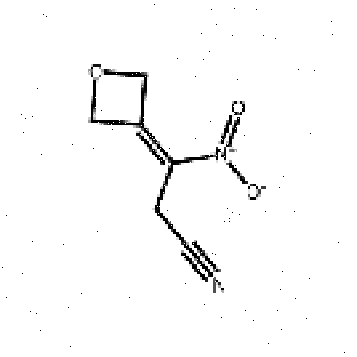 N#CCC(=C1COC1)[N+](=O)[O-]